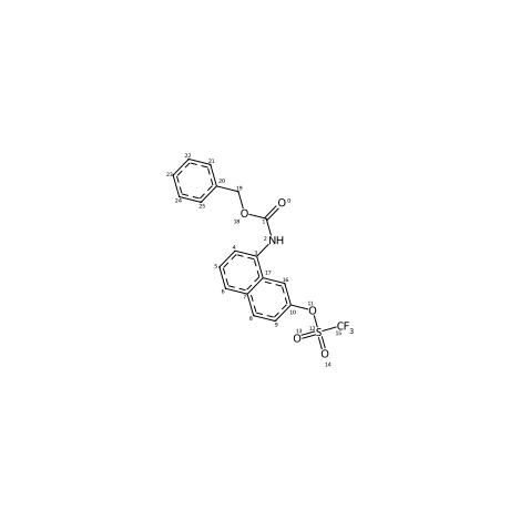 O=C(Nc1cccc2ccc(OS(=O)(=O)C(F)(F)F)cc12)OCc1ccccc1